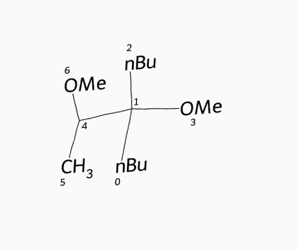 CCCCC(CCCC)(OC)C(C)OC